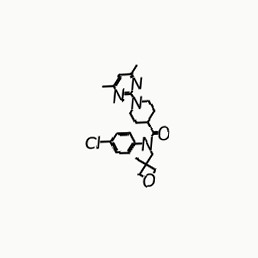 Cc1cc(C)nc(N2CCC(C(=O)N(CC3(C)COC3)c3ccc(Cl)cc3)CC2)n1